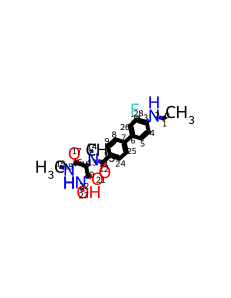 CCNc1ccc(-c2ccc(C(=O)N(C)C(C(=O)NC)C(=O)NO)cc2)cc1F